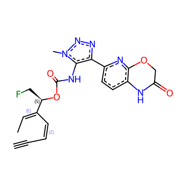 C#C/C=C\C(=C/C)[C@@H](CF)OC(=O)Nc1c(-c2ccc3c(n2)OCC(=O)N3)nnn1C